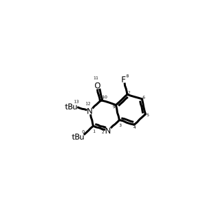 CC(C)(C)c1nc2cccc(F)c2c(=O)n1C(C)(C)C